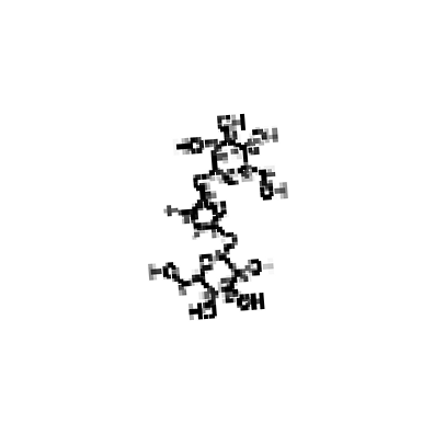 Cc1cc(OC2O[C@H](CO)[C@H](O)[C@H](O)[C@H]2O)oc1OC1O[C@H](CO)[C@H](O)[C@H](O)[C@H]1O